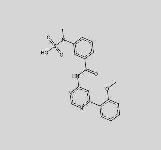 COc1ccccc1-c1cc(NC(=O)c2cccc(N(C)S(=O)(=O)O)c2)ncn1